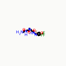 CN(CCC(=O)Nc1nc2ccc(OC(F)(F)F)cc2s1)C(=O)CNC(=O)CN